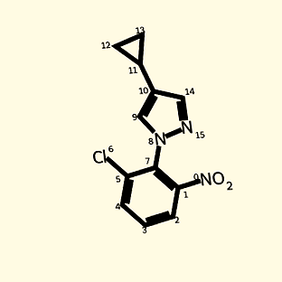 O=[N+]([O-])c1cccc(Cl)c1-n1cc(C2CC2)cn1